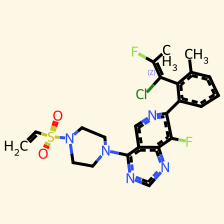 C=CS(=O)(=O)N1CCN(c2ncnc3c(F)c(-c4cccc(C)c4/C(Cl)=C(\C)F)ncc23)CC1